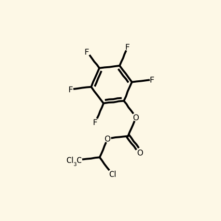 O=C(Oc1c(F)c(F)c(F)c(F)c1F)OC(Cl)C(Cl)(Cl)Cl